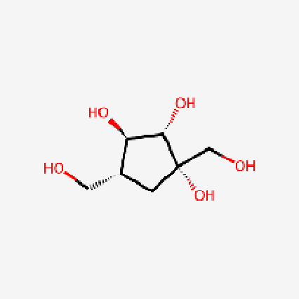 OC[C@H]1C[C@](O)(CO)[C@@H](O)[C@@H]1O